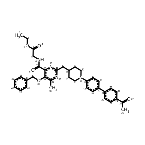 CCOC(=O)CNC(=O)c1nc(CC2CCN(c3ccc(-c4ccc(C(C)=O)cc4)cc3)CC2)nc(C)c1OCc1ccccc1